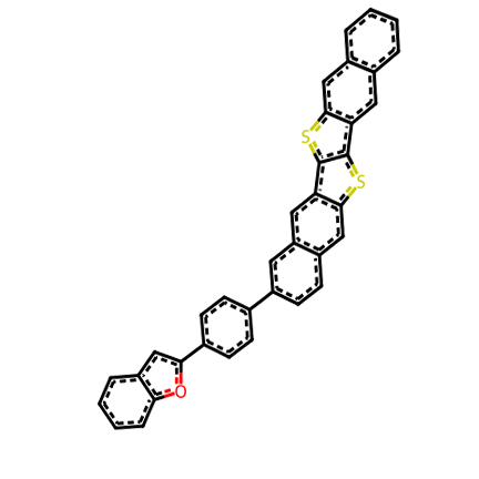 c1ccc2cc3c(cc2c1)sc1c2cc4cc(-c5ccc(-c6cc7ccccc7o6)cc5)ccc4cc2sc31